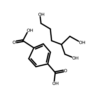 O=C(O)c1ccc(C(=O)O)cc1.OCCCC(CO)CO